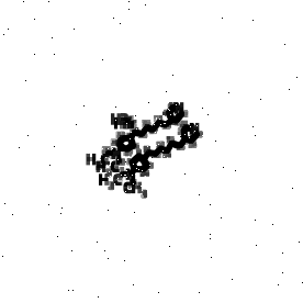 Br.Br.CCN(CC)c1ccc(C=CC=CC=Cc2ccncc2)cc1.CCN(CC)c1ccc(C=CC=CC=Cc2ccncc2)cc1